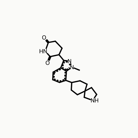 Cn1nc(C2CCC(=O)NC2=O)c2cccc(C3CCC4(CCNC4)CC3)c21